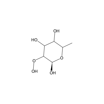 CC1O[C@@H](O)C(OO)C(O)C1O